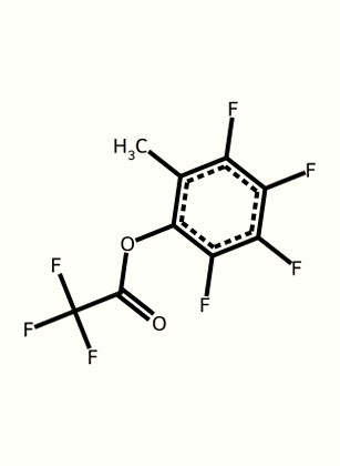 Cc1c(F)c(F)c(F)c(F)c1OC(=O)C(F)(F)F